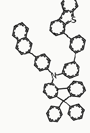 c1ccc(C2(c3ccccc3)c3ccccc3-c3c(N(c4ccc(-c5ccc6ccccc6c5)cc4)c4cccc(-c5cccc(-c6cccc7c6sc6ccccc67)c5)c4)cccc32)cc1